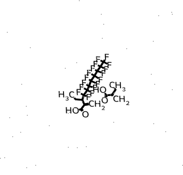 C=C(C(=O)O)C(CC)C(F)(F)C(F)(F)C(F)(F)C(F)(F)C(F)(F)C(F)(F)C(F)(F)C(F)(F)F.C=C(CC)C(=O)O